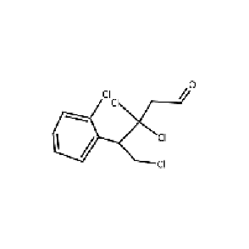 O=CCC(Cl)(Cl)C(CCl)c1ccccc1Cl